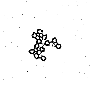 c1ccc2c(c1)-c1ccccc1C21c2ccccc2-c2ccc(N(c3ccc(-c4cccc5c4oc4ccccc45)cc3)c3ccc4c(c3)C3(c5ccccc5-c5ccccc53)c3cccc5c6ccccc6n-4c35)cc21